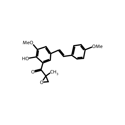 COc1ccc(/C=C/c2cc(OC)c(O)c(C(=O)C3(C)CO3)c2)cc1